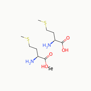 CSCC[C@H](N)C(=O)O.CSCC[C@H](N)C(=O)O.[Se]